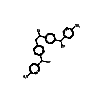 CCCC(c1ccc(N)cc1)c1ccc(CC(CC)c2ccc(C(CCC)c3ccc(N)cc3)cc2)cc1